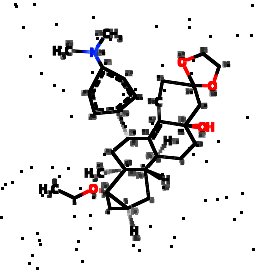 CCO[C@@]12C[C@@H]1C[C@H]1[C@@H]3CC[C@@]4(O)CC5(CCC4=C3[C@@H](c3ccc(N(C)C)cc3)C[C@@]12C)OCCO5